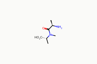 C[C@H](C(=O)O)N(C)C(=O)[C@@H](C)N